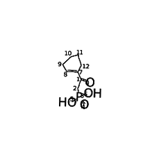 O=C(CP(=O)(O)O)C1=CCCCC1